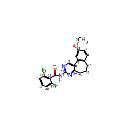 COc1ccc2c(c1)-c1cnc(NC(=O)c3c(F)cccc3F)nc1CCC2